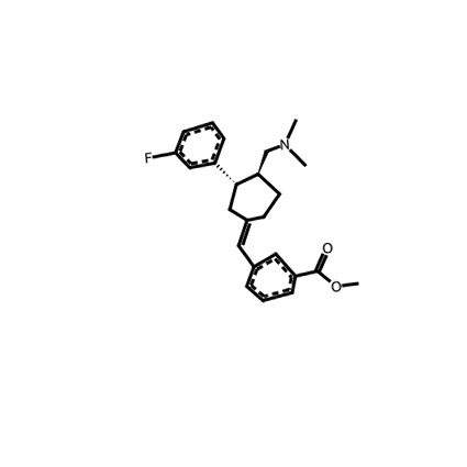 COC(=O)c1cccc(/C=C2\CC[C@H](CN(C)C)[C@@H](c3cccc(F)c3)C2)c1